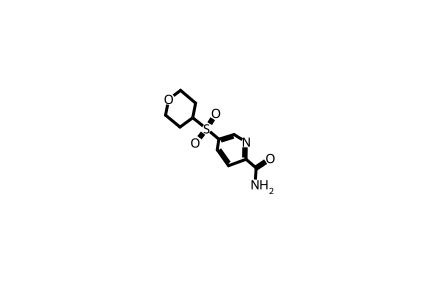 NC(=O)c1ccc(S(=O)(=O)C2CCOCC2)cn1